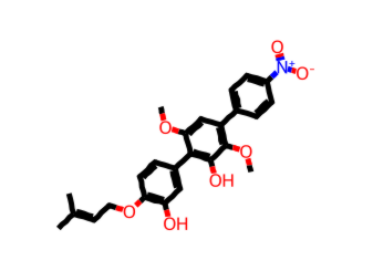 COc1cc(-c2ccc([N+](=O)[O-])cc2)c(OC)c(O)c1-c1ccc(OCC=C(C)C)c(O)c1